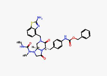 CCCCNC(=O)N(CCC)N1CC(=O)N2[C@@H](Cc3ccc(NC(=O)OCc4ccccc4)cc3)C(=O)N(Cc3cccc4sc(N)nc34)C[C@@H]21